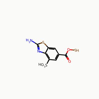 Nc1nc2c(S(=O)(=O)O)cc(C(=O)OS)cc2s1